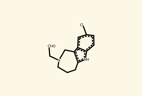 O=CCN1CCCc2[nH]c3ccc(Cl)cc3c2C1